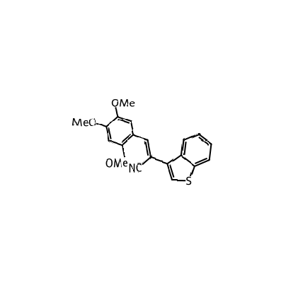 COc1cc(OC)c(OC)cc1C=C(C#N)c1csc2ccccc12